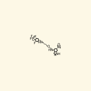 Fc1cc(CNCCCCOCCNc2cc(-c3cocn3)cc3[nH]ncc23)cc(F)c1OC(F)(F)F